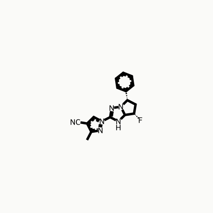 Cc1nn(C2=NN3C(N2)[C@@H](F)C[C@H]3c2ccccc2)cc1C#N